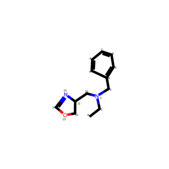 CCN(Cc1ccccc1)CC1CO[C]=N1